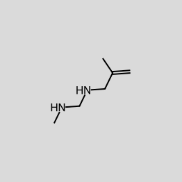 C=C(C)CNCNC